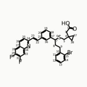 O=C(O)CC1(CSC(CCc2ccccc2Br)c2cccc(C=Cc3ccc4cc(F)c(F)cc4n3)c2)CC1